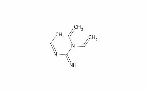 C=CN(C=C)C(=N)/N=C\C